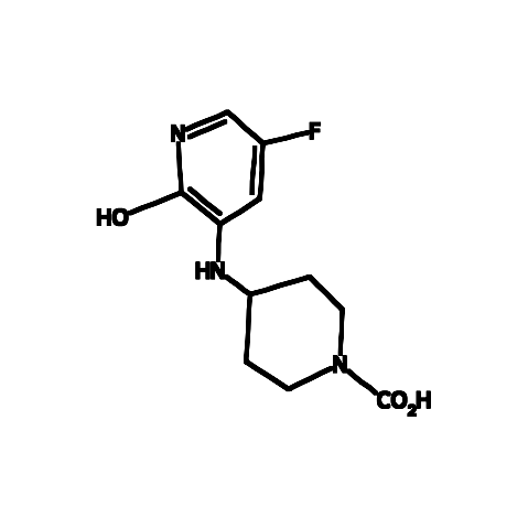 O=C(O)N1CCC(Nc2cc(F)cnc2O)CC1